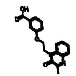 Cc1nc2ccccc2n(CCOc2cccc(C(=O)O)c2)c1=O